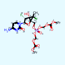 CC(C)OC(=O)OCOP(=O)(OCOC(=O)OC(C)C)OC[C@@]12O[C@@H](n3ccc(N)nc3=O)[C@H](F)[C@@]1(O)C2(C)F